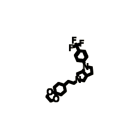 FC(F)(F)c1ccc(N2CCC3CN(CCC4CCC5(CC4)OCCO5)CC32)cc1